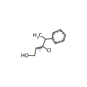 CC(/C(Cl)=C/CO)c1ccccc1